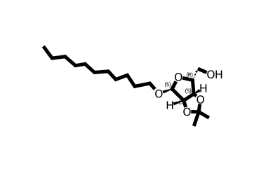 CCCCCCCCCCCO[C@H]1O[C@H](CO)[C@@H]2OC(C)(C)O[C@H]12